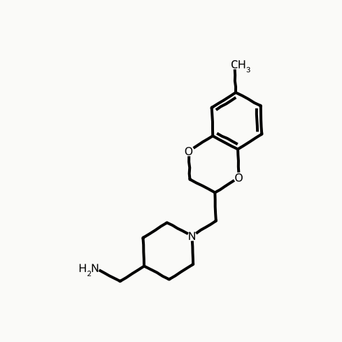 Cc1ccc2c(c1)OCC(CN1CCC(CN)CC1)O2